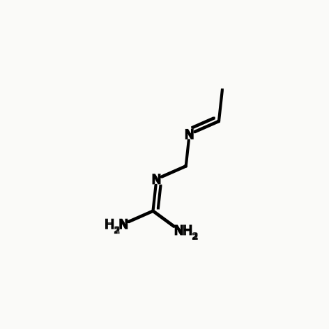 C/C=N/CN=C(N)N